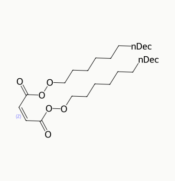 CCCCCCCCCCCCCCCCOOC(=O)/C=C\C(=O)OOCCCCCCCCCCCCCCCC